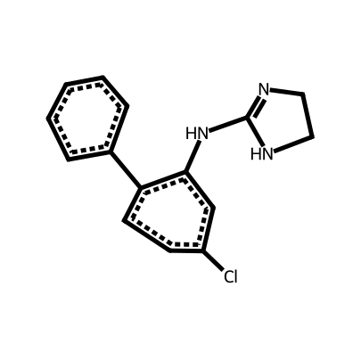 Clc1ccc(-c2ccccc2)c(NC2=NCCN2)c1